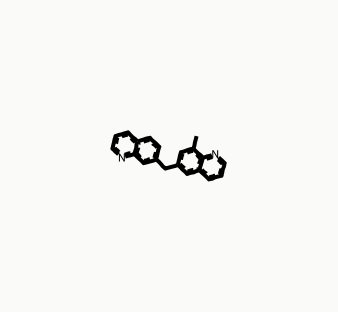 Cc1cc(Cc2ccc3cccnc3c2)cc2cccnc12